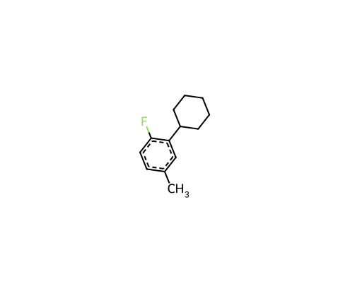 Cc1ccc(F)c(C2CCCCC2)c1